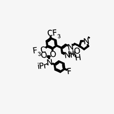 CC(C)N(C(=O)Oc1c(/C(C=N)=C/NCC2(O)CCN(C)C2)cc(C(F)(F)F)cc1C(F)(F)F)c1ccc(F)cc1